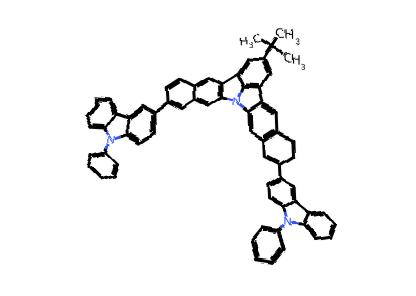 CC(C)(C)c1cc2c3cc4c(cc3n3c5cc6cc(-c7ccc8c(c7)c7ccccc7n8-c7ccccc7)ccc6cc5c(c1)c23)C=C(c1ccc2c(c1)c1ccccc1n2-c1ccccc1)CC4